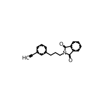 C#Cc1cccc(CCCN2C(=O)c3ccccc3C2=O)c1